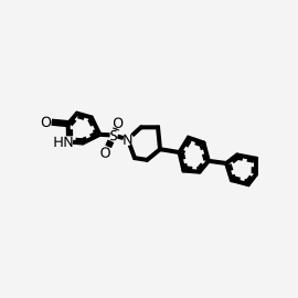 O=c1ccc(S(=O)(=O)N2CCC(c3ccc(-c4ccccc4)cc3)CC2)c[nH]1